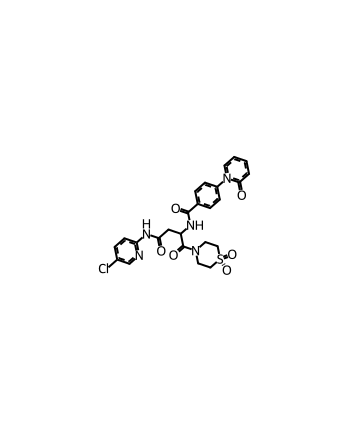 O=C(CC(NC(=O)c1ccc(-n2ccccc2=O)cc1)C(=O)N1CCS(=O)(=O)CC1)Nc1ccc(Cl)cn1